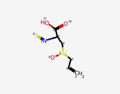 C=CC[S+]([O-])CC(N=S)C(=O)O